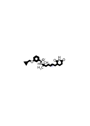 CC(C)(CC/C=C/CC1CCC(=O)NC1=O)N[S+]([O-])c1cccc(OCC2CC2)c1